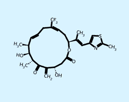 C=C1C(=O)[C@H](C)[C@@H](O)[C@@H](C)/C=C/C/C(C(F)(F)F)=C\C[C@@H](/C(C)=C/c2csc(C)n2)OC(=O)C[C@@H]1O